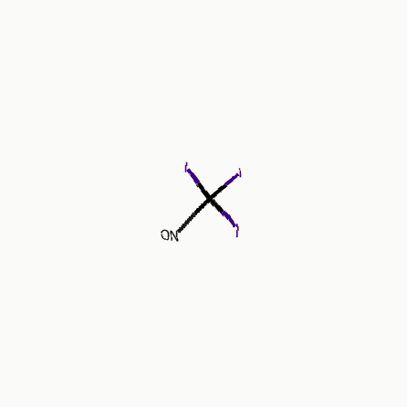 O=NC(I)(I)I